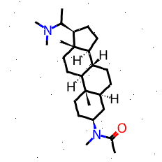 CC(=O)N(C)[C@H]1CC[C@@]2(C)[C@@H](CC[C@@H]3[C@@H]2CC[C@]2(C)[C@@H](C(C)N(C)C)CC[C@@H]32)C1